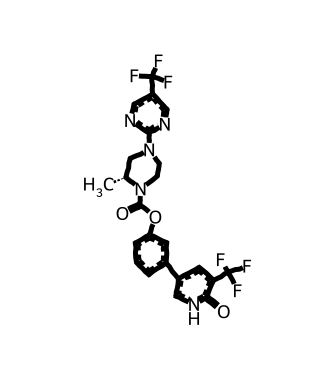 C[C@@H]1CN(c2ncc(C(F)(F)F)cn2)CCN1C(=O)Oc1cccc(-c2c[nH]c(=O)c(C(F)(F)F)c2)c1